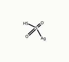 O=[S](=O)(S)[Ag]